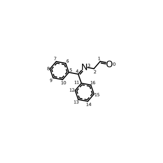 O=CCN=C(c1ccccc1)c1ccccc1